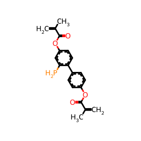 C=C(C)C(=O)Oc1ccc(-c2ccc(OC(=O)C(=C)C)cc2P)cc1